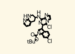 CC(C)(C)OC(=O)n1cc(-c2nc(NC3CNc4ncccc4C3)c3nccn3c2Cl)c2ccc(Cl)cc21